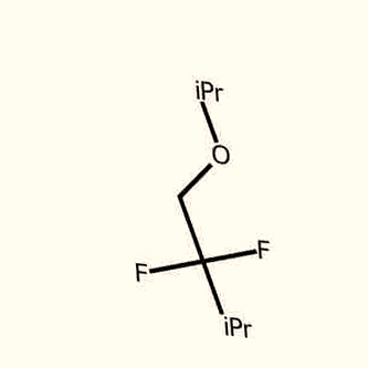 CC(C)OCC(F)(F)C(C)C